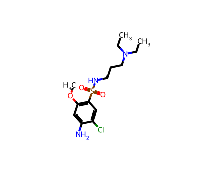 CCN(CC)CCCNS(=O)(=O)c1cc(Cl)c(N)cc1OC